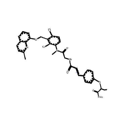 CNC(=O)C(C)Oc1ccc(/C=C/C(=O)NCC(=O)N(C)c2ccc(Cl)c(COc3cccc4ccc(C)nc34)c2Cl)cc1